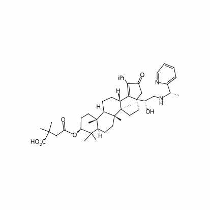 CC(C)C1=C2[C@H]3CC[C@@H]4[C@@]5(C)CC[C@H](OC(=O)CC(C)(C)C(=O)O)C(C)(C)[C@@H]5CC[C@@]4(C)[C@]3(C)CC[C@@]2([C@@H](O)CN[C@@H](C)c2ccccn2)CC1=O